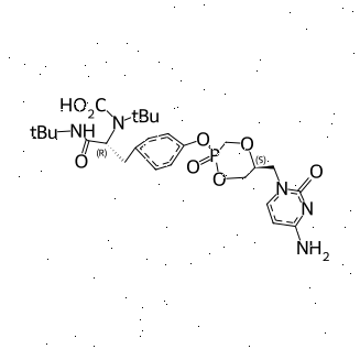 CC(C)(C)NC(=O)[C@@H](Cc1ccc(OP2(=O)CO[C@@H](Cn3ccc(N)nc3=O)CO2)cc1)N(C(=O)O)C(C)(C)C